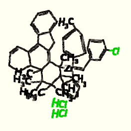 Cc1cc[c]([Zr](=[CH]c2cccc(Cl)c2)([C]2=CC=CC2)[C]2(C)C3=C4Cc5ccccc5C4=C4C=CCCC4C3(C)C(C)(C)C(C)(C)C2(C)C)cc1.Cl.Cl